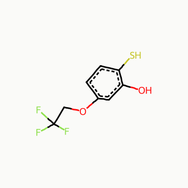 Oc1cc(OCC(F)(F)F)ccc1S